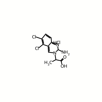 CC(C(=O)O)N1C=c2c(Cl)c(Cl)ccc2=NC1N.Cl